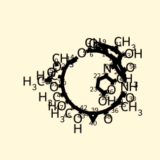 COC1/C=C/OC2(C)Oc3c(C)c(O)c4c(c3C2=O)C(=NC2CCC(O)OC2C)C=C(NC(=O)/C(C)=C\C(=O)C2CC2C(O)C(C)C(O)C(C)C(OC(C)=O)C1C)C4=O